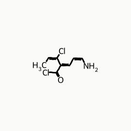 C\C=C(Cl)/C(=C\C=C/N)C(=O)Cl